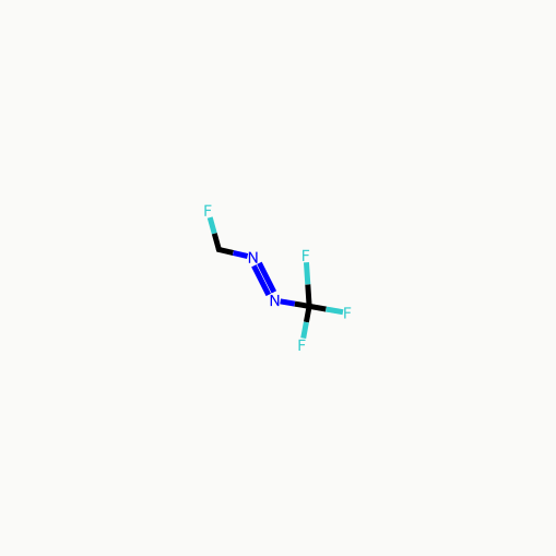 FCN=NC(F)(F)F